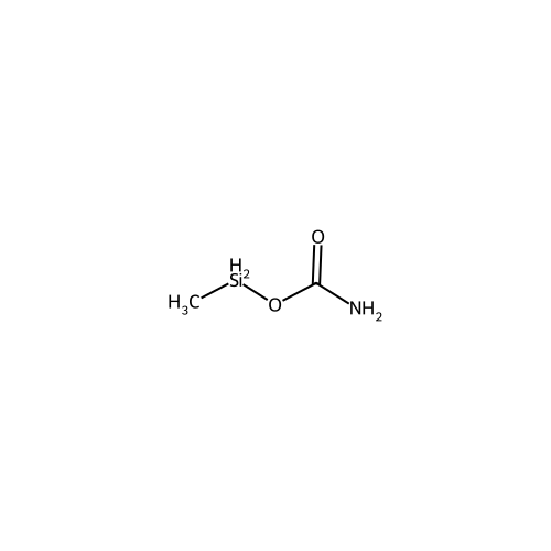 C[SiH2]OC(N)=O